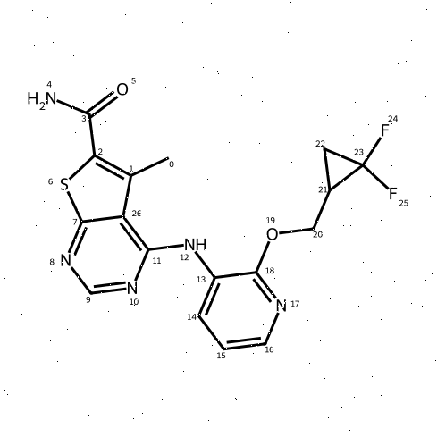 Cc1c(C(N)=O)sc2ncnc(Nc3cccnc3OCC3CC3(F)F)c12